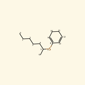 CCCCCC(C)SC1=CCCC=C1